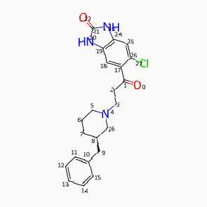 O=C(CCN1CCC[C@H](Cc2ccccc2)C1)c1cc2[nH]c(=O)[nH]c2cc1Cl